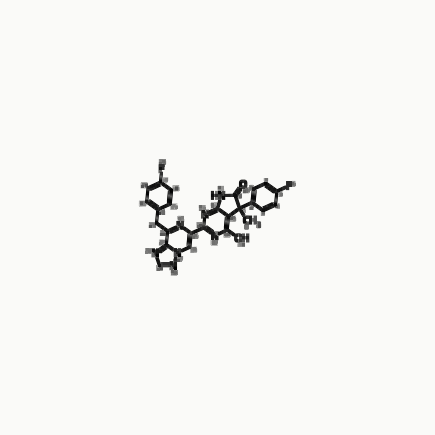 CC1(c2ccc(F)cc2)C(=O)Nc2nc(-c3cn4ncnc4c(Cc4ccc(F)cc4)n3)nc(O)c21